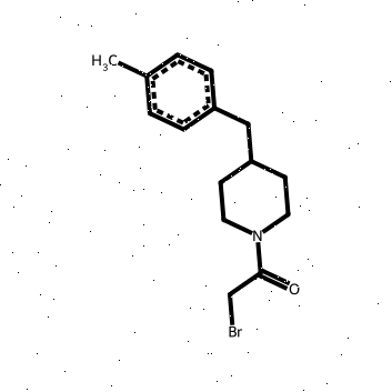 Cc1ccc(CC2CCN(C(=O)CBr)CC2)cc1